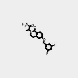 CC(C(N)=O)N1CCc2cc(OCc3cc(F)cc(F)c3)ccc2C1=O